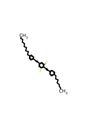 CCCCCCCCCCc1ccc(C#Cc2cc(F)c(C#Cc3ccc(CCCCCCCC)cc3)c(F)c2)cc1